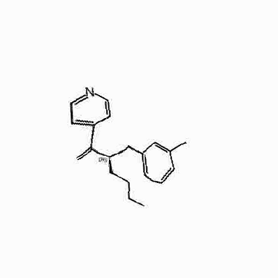 C=C(c1ccncc1)[C@H](CCCC)Cc1cccc(C)c1